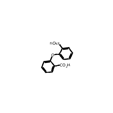 CCCCCCCCc1ccccc1Oc1ccccc1C(=O)O